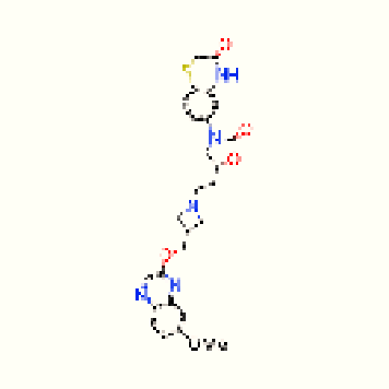 COc1ccc2ncc(OCC3CN(CCC4CN(c5ccc6c(c5)NC(=O)CS6)C(=O)O4)C3)nc2c1